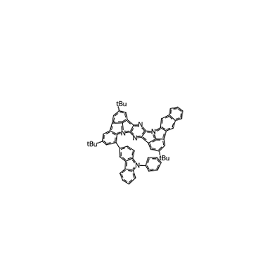 CC(C)(C)c1cc(-c2ccc3c(c2)c2ccccc2n3-c2ccccc2)c2c(c1)c1cc(C(C)(C)C)cc3c4nc5c(nc4n2c13)c1cc(C(C)(C)C)cc2c3cc4ccccc4cc3n5c21